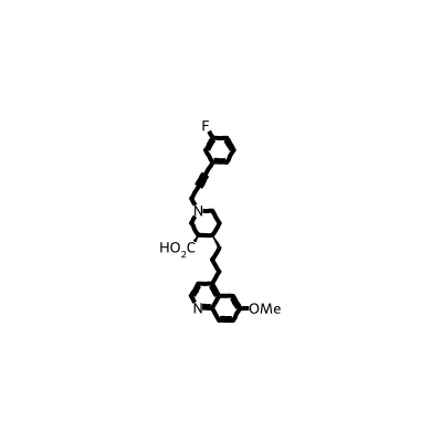 COc1ccc2nccc(CCC[C@@H]3CCN(CC#Cc4cccc(F)c4)C[C@@H]3C(=O)O)c2c1